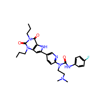 CCCn1c(=O)c2[nH]c(-c3ccc(N(CCN(C)C)C(=O)Nc4ccc(F)cc4)nc3)cc2n(CCC)c1=O